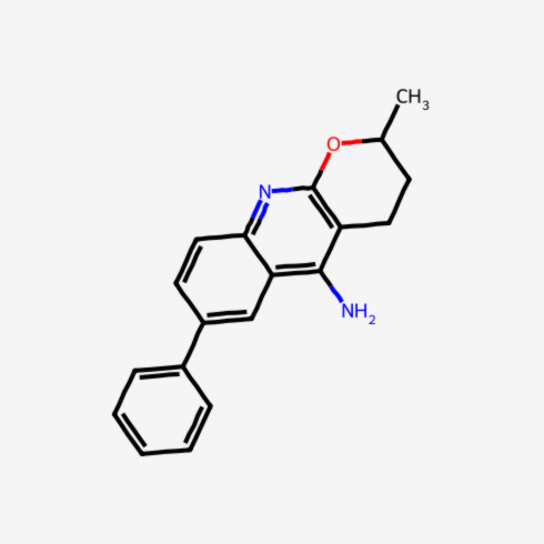 CC1CCc2c(nc3ccc(-c4ccccc4)cc3c2N)O1